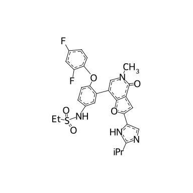 CCS(=O)(=O)Nc1ccc(Oc2ccc(F)cc2F)c(-c2cn(C)c(=O)c3cc(-c4cnc(C(C)C)[nH]4)oc23)c1